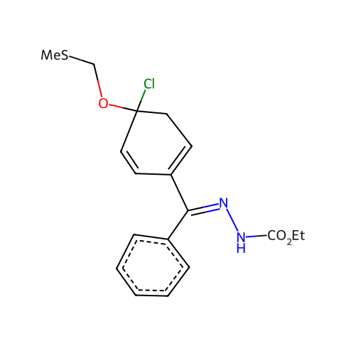 CCOC(=O)NN=C(C1=CCC(Cl)(OCSC)C=C1)c1ccccc1